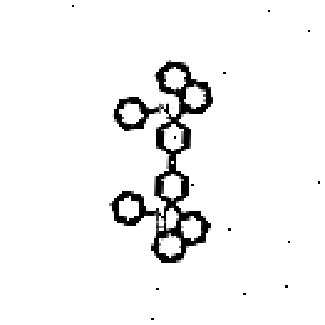 C1=CC(Nc2ccccc2)(c2cccc3ccccc23)C=CC1=C1C=CC(Nc2ccccc2)(c2cccc3ccccc23)C=C1